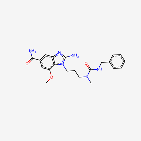 COc1cc(C(N)=O)cc2nc(N)n(CCCN(C)C(=O)NCc3ccccc3)c12